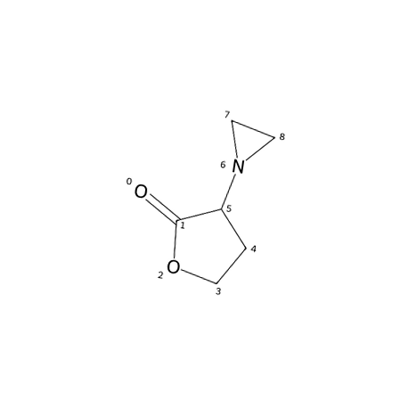 O=C1OCCC1N1CC1